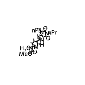 CCCn1c(=O)c2[nH]c(-c3ccc(N(C)C(=O)OC)nc3)nc2n(CCC)c1=O